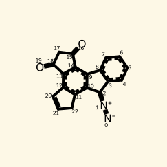 [N-]=[N+]=C1c2ccccc2-c2c1c1c(c3c2C(=O)CC3=O)C=CC1